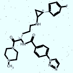 CN1CCN(C(=O)[C@H](CCCNC2C[C@@H]2c2ccc(F)cc2)NC(=O)c2ccc(-n3ccnn3)cc2)CC1